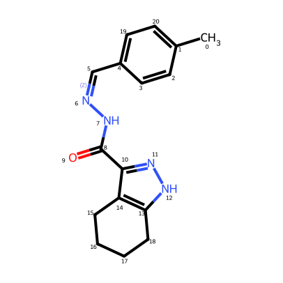 Cc1ccc(/C=N\NC(=O)c2n[nH]c3c2CCCC3)cc1